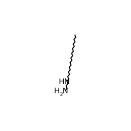 CCCCCCCCCCCCCCCCCCCCNCCCN